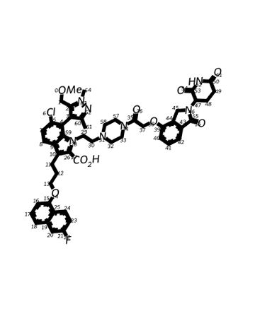 COCc1c(-c2c(Cl)ccc3c(CCCOc4cccc5cc(F)ccc45)c(C(=O)O)n(CCN4CCN(C(=O)COc5cccc6c5CN(C5CCC(=O)NC5=O)C6=O)CC4)c23)c(C)nn1C